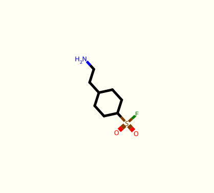 NCCC1CCC(S(=O)(=O)F)CC1